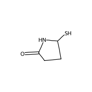 O=C1CCC(S)N1